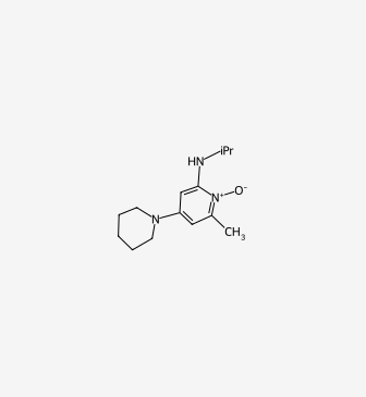 Cc1cc(N2CCCCC2)cc(NC(C)C)[n+]1[O-]